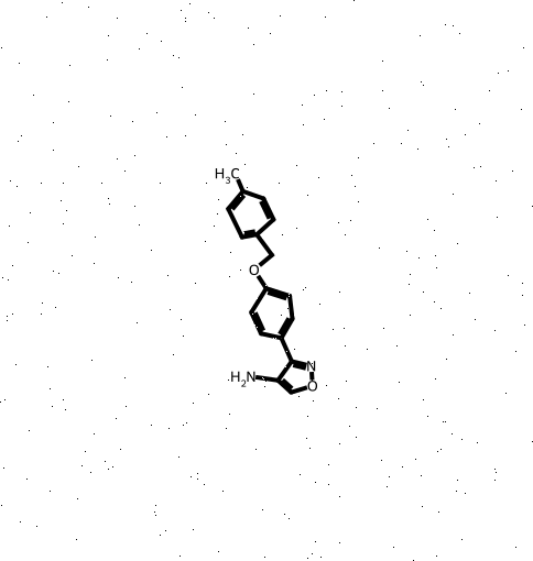 Cc1ccc(COc2ccc(-c3nocc3N)cc2)cc1